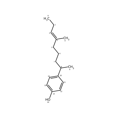 CC/C=C(\C)CCCC(C)c1ccc(O)cc1